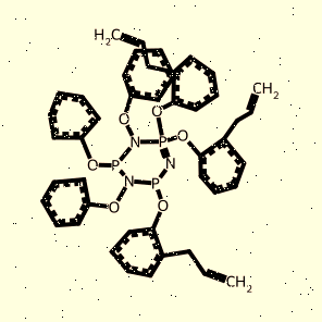 C=CCc1ccccc1OP1N=P(Oc2ccccc2CC=C)(Oc2ccccc2CC=C)N(Oc2ccccc2)P(Oc2ccccc2)N1Oc1ccccc1